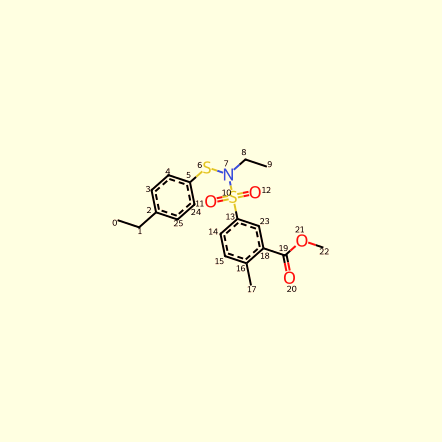 CCc1ccc(SN(CC)S(=O)(=O)c2ccc(C)c(C(=O)OC)c2)cc1